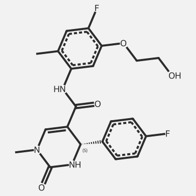 Cc1cc(F)c(OCCO)cc1NC(=O)C1=CN(C)C(=O)N[C@H]1c1ccc(F)cc1